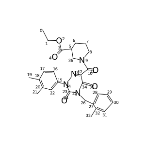 CCOC(=O)C1CCCN(C(=O)c2nn(-c3ccc(C)c(C)c3)c(=O)n(Cc3ccccc3C)c2=O)C1